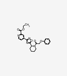 CCOC(=O)c1cc(-c2noc(C3CCCCN3C(=O)COc3ccccc3)n2)ccn1